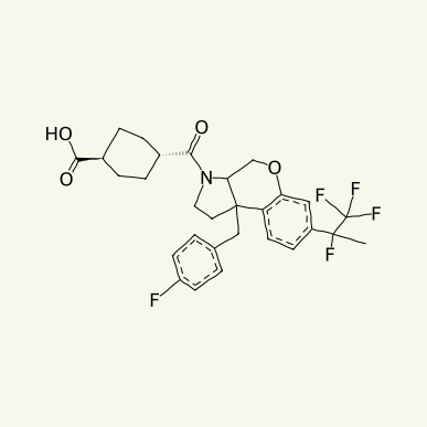 CC(F)(c1ccc2c(c1)OCC1N(C(=O)[C@H]3CC[C@H](C(=O)O)CC3)CCC21Cc1ccc(F)cc1)C(F)(F)F